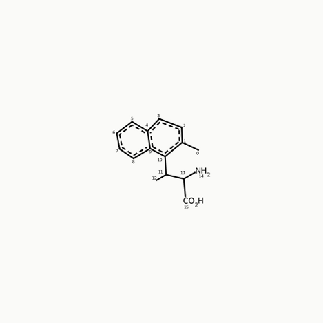 Cc1ccc2ccccc2c1C(C)C(N)C(=O)O